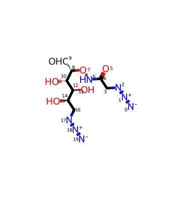 [N-]=[N+]=NCC(=O)NO[C@@H](C=O)[C@@H](O)[C@@H](O)[C@H](O)CN=[N+]=[N-]